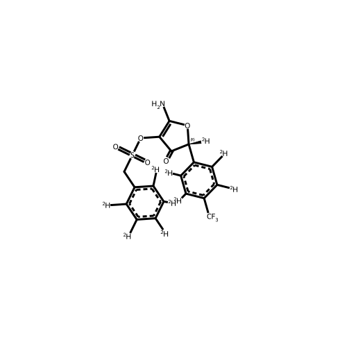 [2H]c1c([2H])c([2H])c(CS(=O)(=O)OC2=C(N)O[C@]([2H])(c3c([2H])c([2H])c(C(F)(F)F)c([2H])c3[2H])C2=O)c([2H])c1[2H]